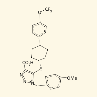 COc1ccc(Cn2nnc(C(=O)O)c2S[C@H]2CC[C@@H](c3ccc(OC(F)(F)F)cc3)CC2)cc1